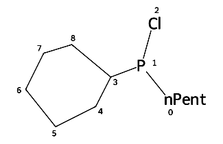 CCCCCP(Cl)C1CCCCC1